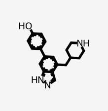 Oc1ccc(-c2cc(CC3CCNCC3)c3cn[nH]c3c2)cc1